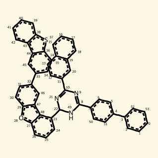 c1ccc(-c2ccc(C3=NC(c4ccc5ccccc5c4)=NC(c4cccc5oc6ccc(-c7ccc8sc9ccccc9c8c7)cc6c45)N3)cc2)cc1